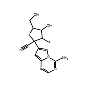 N#CC1(c2cc3ncnc(N)n3c2)OC(CO)C(O)C1F